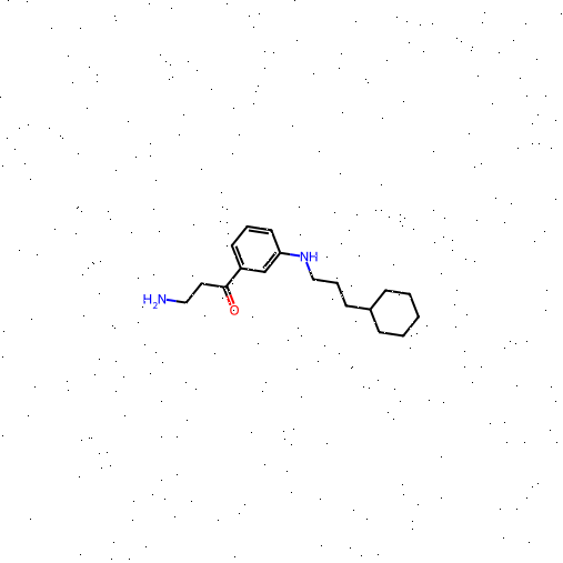 NCCC(=O)c1cccc(NCCCC2CCCCC2)c1